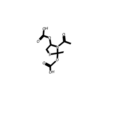 CC(=O)N1C(OC(=O)O)CSC1(C)OC(=O)O